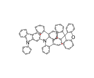 c1ccc(-c2ccccc2N(c2ccc3c4ccccc4n(-c4ccccc4)c3c2)c2ccccc2-c2ccc3c(c2)-c2ccccc2C32c3ccccc3Oc3ccccc32)cc1